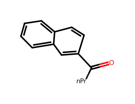 [CH2]CCC(=O)c1ccc2ccccc2c1